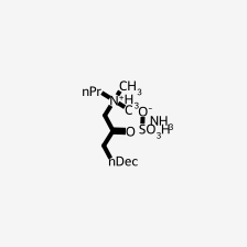 CCCCCCCCCCCC(=O)C[N+](C)(C)CCC.N.O=S(=O)([O-])O